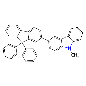 Cn1c2ccccc2c2cc(-c3ccc4c(c3)C(c3ccccc3)(c3ccccc3)c3ccccc3-4)ccc21